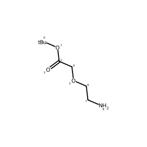 CC(C)(C)OC(=O)COCCN